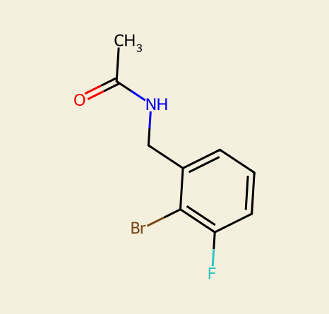 CC(=O)NCc1cccc(F)c1Br